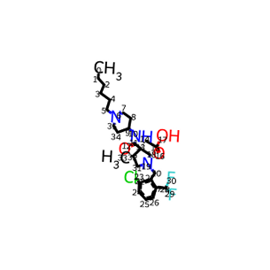 CCCCCCN1CCC(NC(=O)[C@@]2(CC(=O)O)CN(Cc3c(Cl)cccc3C(F)F)C[C@H]2C)CC1